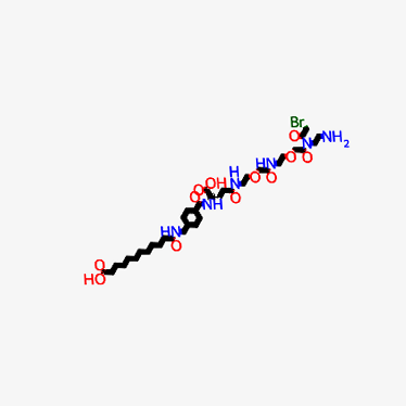 NCCN(C(=O)CBr)C(=O)COCCNC(=O)COCCNC(=O)CC[C@H](NC(=O)C1CCC(CNC(=O)CCCCCCCCCCC(=O)O)CC1)C(=O)O